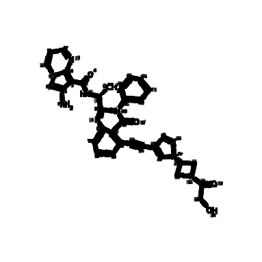 C[C@H](NC(=O)c1c(N)nn2cccnc12)c1nc2cccc(C#Cc3cnn(C4CN(C(=O)CO)C4)c3)c2c(=O)n1-c1ccccc1